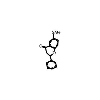 CSc1ccc2c(c1)C(=O)CC(c1ccccc1)O2